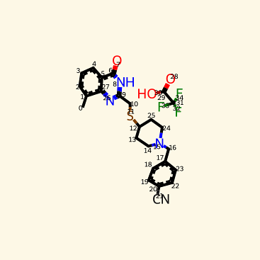 Cc1cccc2c(=O)[nH]c(CSC3CCN(Cc4ccc(C#N)cc4)CC3)nc12.O=C(O)C(F)(F)F